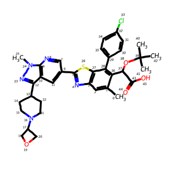 Cc1cc2nc(-c3cnc4c(c3)c(C3CCN(C5COC5)CC3)nn4C)sc2c(-c2ccc(Cl)cc2)c1C(OC(C)(C)C)C(=O)O